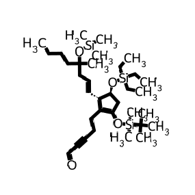 CCCCC(C)(C/C=C/[C@H]1C(CCC#CC=O)=C(O[Si](C)(C)C(C)(C)C)C[C@@H]1O[Si](CC)(CC)CC)O[Si](C)(C)C